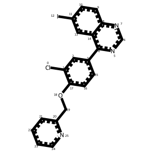 Clc1cc(-c2ncnc3ccc(I)cc23)ccc1OCc1ccccn1